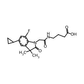 CC1(C)C(=O)N(CC(=O)NCCCC(=O)O)c2c(F)cc(C3CC3)cc21